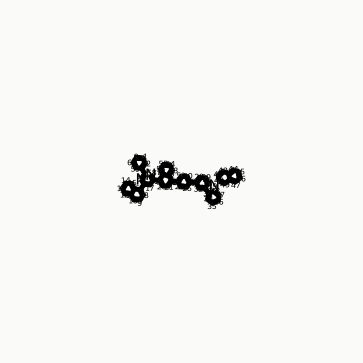 c1ccc(-c2nc(-c3cccc4ccccc34)cc(-c3ccc(-c4ccc(-c5ccc6c(c5)c5ccccc5n6-c5ccc6ccccc6c5)cc4)c4ccccc34)n2)cc1